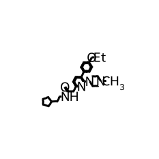 CCOc1ccc(-c2ccc(CC(=O)NCCC3CCCC3)nc2N2CCN(C)CC2)cc1